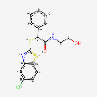 O=C(NCCO)C(Sc1nc2cc(Cl)ccc2s1)c1ccccc1